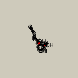 COc1ccc(-c2ccc(OCCCn3cc(CCN(C)[C@H]4C[C@@H](C)O[C@@H](O[C@@H]5[C@@H](C)[C@H](O[C@H]6C[C@@](C)(OC)[C@@H](O)[C@H](C)O6)[C@@H](C)C(=O)O[C@H](I)[C@@](C)(O)[C@H](O)[C@@H](C)N(C)C[C@H](C)C[C@@]5(C)O)[C@@H]4O)nn3)cc2)cn1